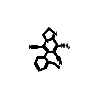 CCc1ccccc1C1=C(C#N)N2CCN=C2C(N)=C1C#N